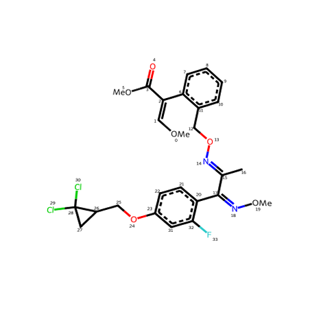 CO/C=C(/C(=O)OC)c1ccccc1CO/N=C(C)/C(=N\OC)c1ccc(OCC2CC2(Cl)Cl)cc1F